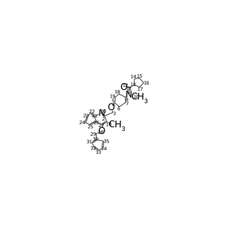 Cc1c(COC2CCC(N(C)C(=O)C3CCCC3)CC2)nc2ccccc2c1OCc1ccccc1